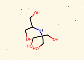 OCC(CO)NC(CO)(CO)CO